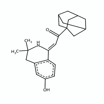 CC1(C)Cc2cc(O)ccc2C(=CC(=O)C23CC4CC(CC(C4)C2)C3)N1